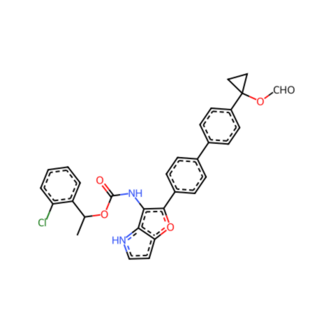 CC(OC(=O)Nc1c(-c2ccc(-c3ccc(C4(OC=O)CC4)cc3)cc2)oc2cc[nH]c12)c1ccccc1Cl